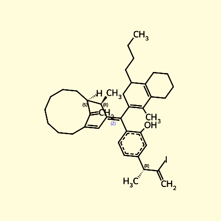 C=C1C2=C/C(=C(/C3=C(C)C4=C(CCCC4)C(CCCC)C3)c3ccc([C@@H](C)C(=C)I)cc3O)[C@H](C)[C@@H]1CCCCCCC2